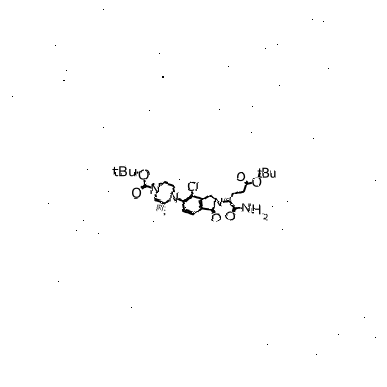 C[C@@H]1CN(C(=O)OC(C)(C)C)CCN1c1ccc2c(c1Cl)CN([C@@H](CCC(=O)OC(C)(C)C)C(N)=O)C2=O